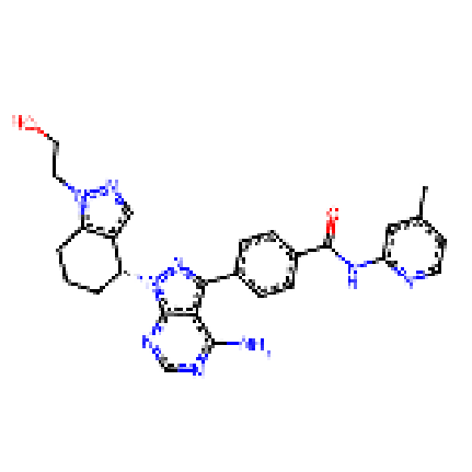 Cc1ccnc(NC(=O)c2ccc(-c3nn([C@@H]4CCCc5c4cnn5CCO)c4ncnc(N)c34)cc2)c1